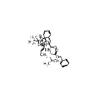 CC=COC(=O)C1(S(=O)(=O)C(C)(C)C)C=CC=CC1C[C@H](N)C(=O)N[C@@H](CC(C)C)C(=O)OCc1ccccc1